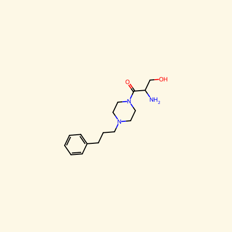 NC(CO)C(=O)N1CCN(CCCc2ccccc2)CC1